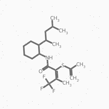 C=C(C)S/C(C(=O)NC1CCCCC1C(C)CC(C)C)=C(\C)C(F)(F)F